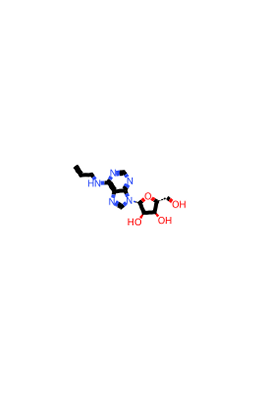 C=CCNc1ncnc2c1ncn2[C@@H]1O[C@H](CO)[C@@H](O)[C@H]1O